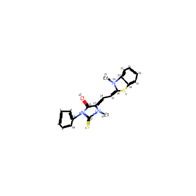 CCN1C(=S)N(c2ccccc2)C(=O)/C1=C/C=C1/Sc2ccccc2N1CC